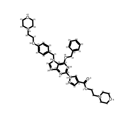 O=C(OCCN1CCOCC1)c1cnn(-c2nc(OCc3ccccc3)c3c(ncn3Cc3ccc(OCCN4CCOCC4)cc3)n2)c1